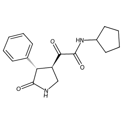 O=C(NC1CCCC1)C(=O)[C@H]1CNC(=O)[C@@H]1c1ccccc1